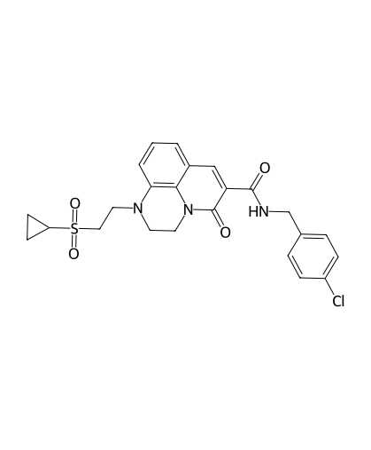 O=C(NCc1ccc(Cl)cc1)c1cc2cccc3c2n(c1=O)CCN3CCS(=O)(=O)C1CC1